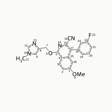 COc1ccc2c(OCc3cn(C)cn3)nc(C#N)c(-c3cccc(F)c3)c2c1